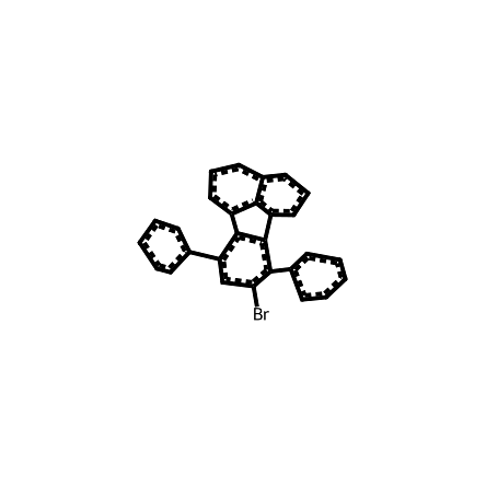 Brc1cc(-c2ccccc2)c2c(c1-c1ccccc1)-c1cccc3cccc-2c13